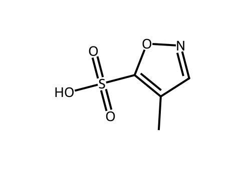 Cc1cnoc1S(=O)(=O)O